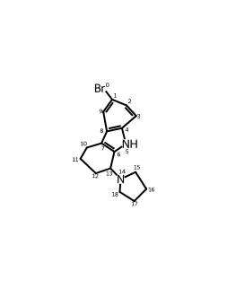 Brc1ccc2[nH]c3c(c2c1)CCCC3N1CCCC1